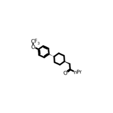 CCCC(=O)C[C@H]1CC[C@H](c2ccc(OC(F)(F)F)cc2)CC1